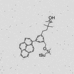 CC(C)(CCc1cc(CO[Si](C)(C)C(C)(C)C)cc(-c2ccc3ccc4cccc5ccc2c3c45)c1)[Si](C)(C)O